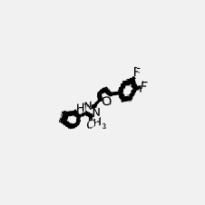 Cc1nc(-c2ccc(-c3ccc(F)c(F)c3)o2)[nH]c1-c1ccccc1